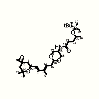 CC(C=C[C@@H]1C[C@]2(CO2)CC(C)(C)O1)=CCC1OCC(NC(=O)CCC(C)O[Si](C)(C)C(C)(C)C)CO1